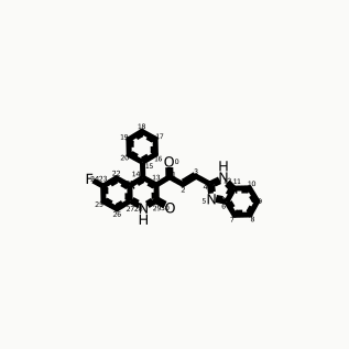 O=C(/C=C/c1nc2ccccc2[nH]1)c1c(-c2ccccc2)c2cc(F)ccc2[nH]c1=O